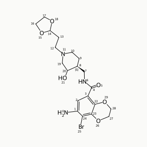 Nc1cc(C(=O)NC[C@@H]2CCN(CCC3OCCO3)CC2O)c2c(c1Br)OCCO2